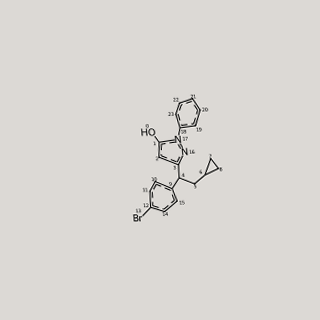 Oc1cc(C(CC2CC2)c2ccc(Br)cc2)nn1-c1ccccc1